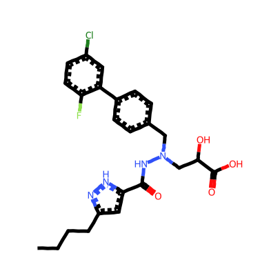 CCCCc1cc(C(=O)NN(Cc2ccc(-c3cc(Cl)ccc3F)cc2)CC(O)C(=O)O)[nH]n1